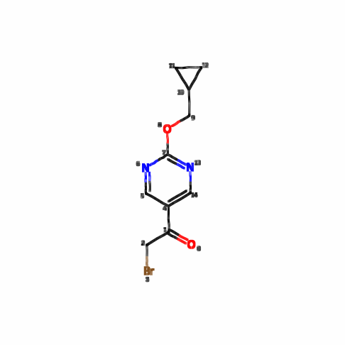 O=C(CBr)c1cnc(OCC2CC2)nc1